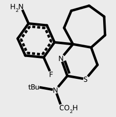 CC(C)(C)N(C(=O)O)C1=NC2(c3cc(N)ccc3F)CCCCCC2CS1